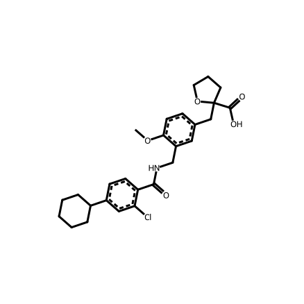 COc1ccc(CC2(C(=O)O)CCCO2)cc1CNC(=O)c1ccc(C2CCCCC2)cc1Cl